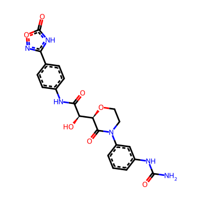 NC(=O)Nc1cccc(N2CCO[C@H]([C@@H](O)C(=O)Nc3ccc(-c4noc(=O)[nH]4)cc3)C2=O)c1